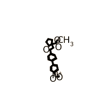 COC(=O)C1(CC(=O)c2ccc(-c3ccc([N+](=O)[O-])cc3)cc2)CCCC1